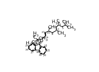 CC(C)C[C@H](C)C[C@H](C)C[C@H](C)C=CCO[Si](c1ccccc1)(c1ccccc1)C(C)(C)C